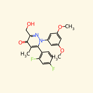 COc1cc(OC)cc(-n2nc(CO)c(=O)c(C)c2-c2ccc(F)cc2F)c1